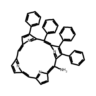 NC1=C2C=CC(=N2)C=C2C=CC(=N2)C=C2C=C(c3ccccc3)C(=N2)C(c2ccccc2)=C2N=C1C(c1ccccc1)=C2c1ccccc1